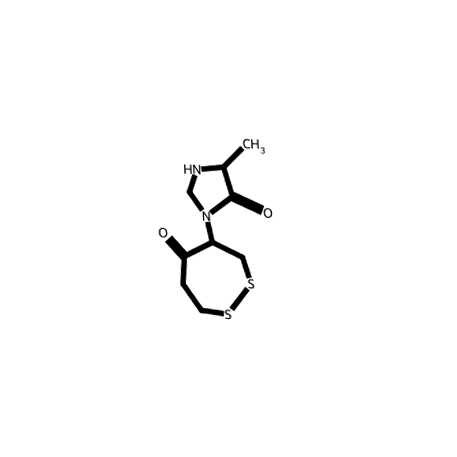 CC1NCN(C2CSSCCC2=O)C1=O